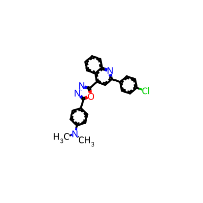 CN(C)c1ccc(-c2nnc(-c3cc(-c4ccc(Cl)cc4)nc4ccccc34)o2)cc1